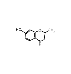 CC1CNc2ccc(O)cc2O1